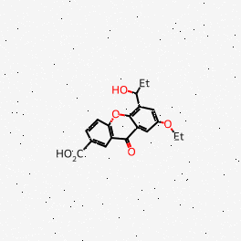 CCOc1cc(C(O)CC)c2oc3ccc(C(=O)O)cc3c(=O)c2c1